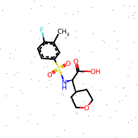 Cc1cc(S(=O)(=O)N[C@@H](C(=O)O)C2CCOCC2)ccc1F